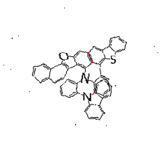 c1ccc(N(c2ccccc2-n2c3ccccc3c3ccccc32)c2cccc3oc4c5ccccc5ccc4c23)c(-c2cccc3c2sc2ccccc23)c1